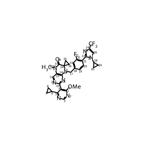 COc1ncnc(C2CC2)c1-c1ncc2c(n1)N(Cc1ccc(-c3nc(C(F)(F)F)cn3C3CC3)c(F)c1)C1(CC1)C(=O)N2C